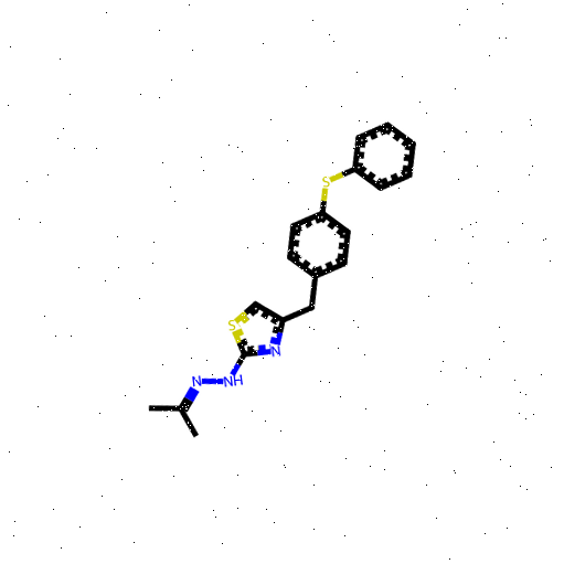 CC(C)=NNc1nc(Cc2ccc(Sc3ccccc3)cc2)cs1